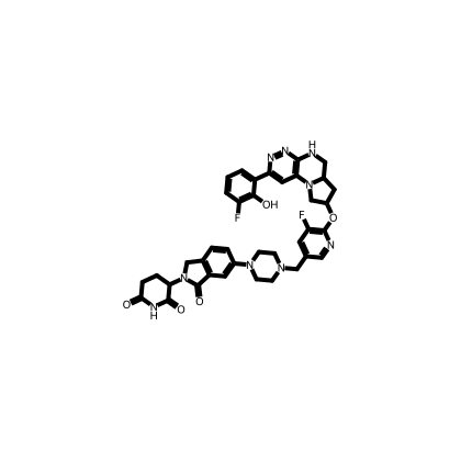 O=C1CCC(N2Cc3ccc(N4CCN(Cc5cnc(OC6CC7CNc8nnc(-c9cccc(F)c9O)cc8N7C6)c(F)c5)CC4)cc3C2=O)C(=O)N1